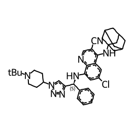 CC(C)(C)N1CCC(n2cc([C@@H](Nc3cc(Cl)cc4c(NC56CC7CC(CC(C7)C5)C6)c(C#N)cnc34)c3ccccc3)nn2)CC1